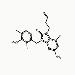 C=CCCn1c(=O)n(Cc2ncc(C)c(OC)c2C)c2nc(N)nc(Cl)c21